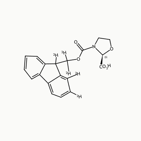 [2H]c1ccc2c(c1[2H])C([2H])(C([2H])([2H])OC(=O)N1CCO[C@H]1C(=O)O)c1ccccc1-2